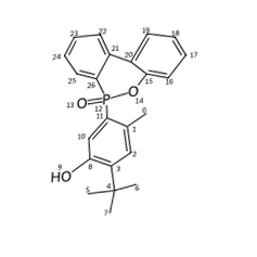 Cc1cc(C(C)(C)C)c(O)cc1P1(=O)Oc2ccccc2-c2ccccc21